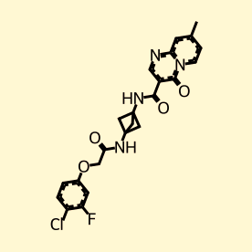 Cc1ccn2c(=O)c(C(=O)NC34CC(NC(=O)COc5ccc(Cl)c(F)c5)(C3)C4)cnc2c1